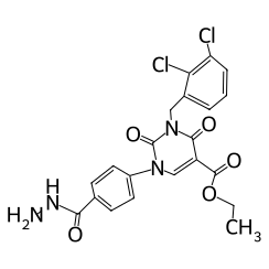 CCOC(=O)c1cn(-c2ccc(C(=O)NN)cc2)c(=O)n(Cc2cccc(Cl)c2Cl)c1=O